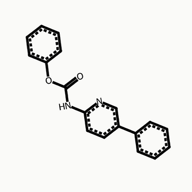 O=C(Nc1ccc(-c2ccccc2)cn1)Oc1ccccc1